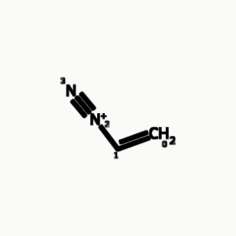 C=C[N+]#N